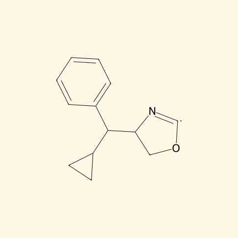 [C]1=NC(C(c2ccccc2)C2CC2)CO1